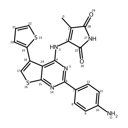 CC1=C(Nc2nc(-c3ccc(N)cc3)nc3scc(-c4cccs4)c23)C(=O)NC1=O